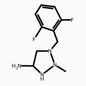 CN1NC(N)CN1Cc1c(F)cccc1F